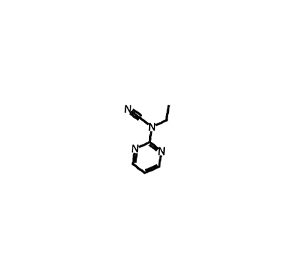 CCN(C#N)c1ncccn1